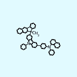 CC1(c2ccc3c(c2)c2cc(-c4ccc(N(c5ccccc5)c5cccc6ccccc56)cc4)ccc2n3-c2ccccc2)c2ccccc2-c2cc3ccccc3cc21